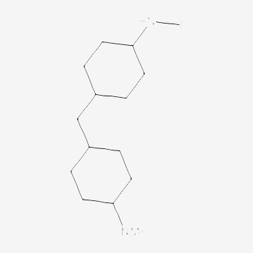 CNC1CCC(CC2CCC(NI)CC2)CC1